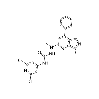 CN(NC(=O)Nc1cc(Cl)nc(Cl)c1)c1cc(-c2ccccc2)c2cnn(C)c2n1